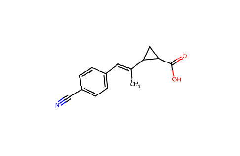 C/C(=C\c1ccc(C#N)cc1)C1CC1C(=O)O